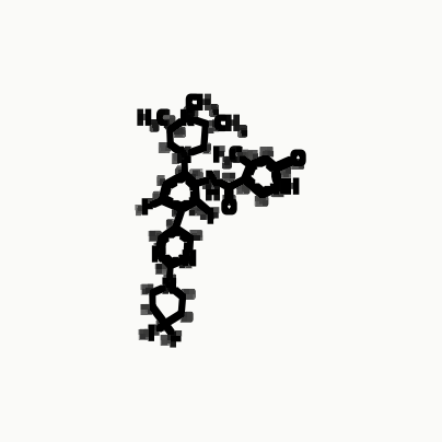 C[C@@H]1CN(c2cc(F)c(-c3cnc(N4CCC(F)(F)CC4)nc3)c(F)c2NC(=O)c2c[nH]c(=O)cc2C(F)(F)F)C[C@H](C)N1C